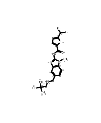 Cn1c(NC(=O)c2ccc(C(F)F)s2)nc2cc(CNCC(C)(C)O)ccc21